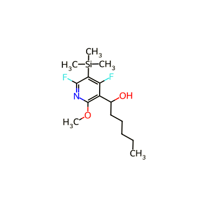 CCCCCC(O)c1c(OC)nc(F)c([Si](C)(C)C)c1F